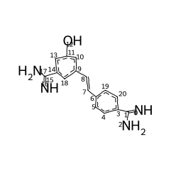 N=C(N)c1ccc(/C=C/c2cc(O)cc(C(=N)N)c2)cc1